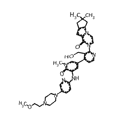 COCCN1CCN(c2ccc(Nc3cc(-c4ccnc(-n5ccn6c7c(cc6c5=O)CC(C)(C)C7)c4CO)cn(C)c3=O)nc2)CC1